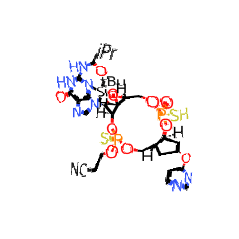 CC(C)C(=O)Nc1nc2c(ncn2[C@@H]2O[C@@H]3CO[P@](=O)(S)O[C@H]4C[C@H](Oc5ccncn5)C[C@@H]4CO[P@@](=S)(OCCC#N)O[C@@H]2[C@@H]3O[Si](C)(C)C(C)(C)C)c(=O)[nH]1